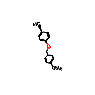 C#Cc1ccc(OCc2ccc(OC)cc2)cc1